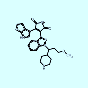 COCCC(C1CCNCC1)n1nc(C2=C(c3c[nH]c4sccc34)C(=O)NC2=O)c2ccccc21